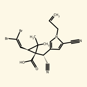 C=CCn1cc([C@H](C#N)[C@]2(C(=O)O)[C@@H](C=C(Br)Br)C2(C)C)cc1C#N